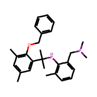 Cc1cc(C)c(OCc2ccccc2)c(C(C)(C)Pc2c(C)cccc2CP(C)C)c1